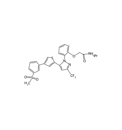 CC(C)NC(=O)COc1ccccc1-n1nc(C(F)(F)F)cc1-c1cc(-c2cccc(S(C)(=O)=O)c2)cs1